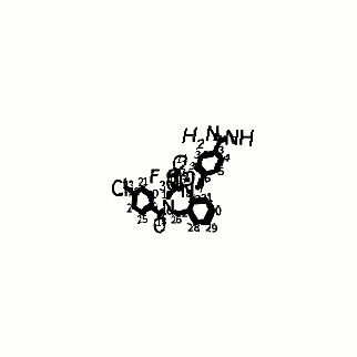 N=C(N)c1ccc(C[N+]2(OC(=O)C(F)(F)F)C(=O)CN(C(=O)c3ccc(Cl)cc3)Cc3ccccc32)cc1